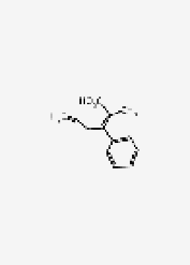 C=CC/C(=C(/C)C(=O)O)c1ccccc1